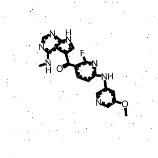 CNc1ncnc2[nH]cc(C(=O)c3ccc(Nc4cncc(OC)c4)nc3F)c12